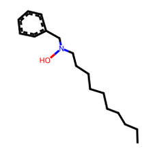 CCCCCCCCCCN(O)Cc1ccccc1